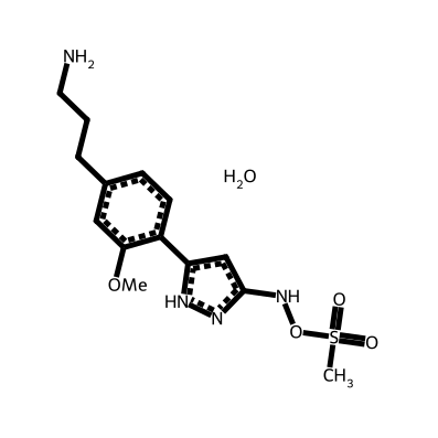 COc1cc(CCCN)ccc1-c1cc(NOS(C)(=O)=O)n[nH]1.O